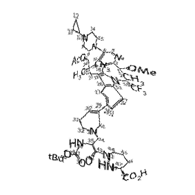 COC(C)c1ncc(N2CCN(C3CC3)CC2)cc1-c1c(CC(C)(C)COC(C)=O)c2cc(C3=CCCN(CC(NC(=O)OC(C)(C)C)C(=O)N4CCC[C@@H](C(=O)O)N4)C3)ccc2n1CC(F)(F)F